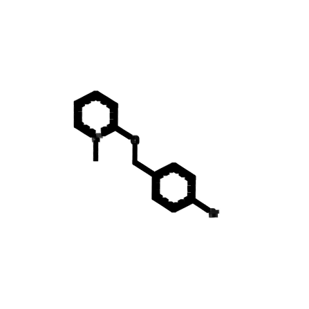 C[n+]1ccccc1OCc1ccc(Br)cc1